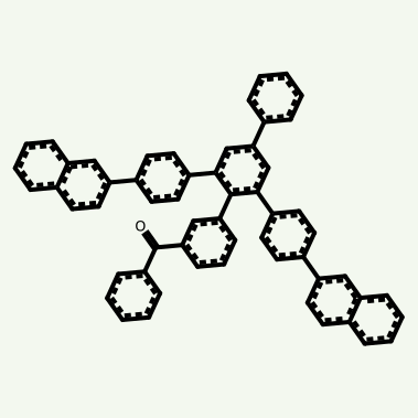 O=C(c1ccccc1)c1cccc(-c2c(-c3ccc(-c4ccc5ccccc5c4)cc3)cc(-c3ccccc3)cc2-c2ccc(-c3ccc4ccccc4c3)cc2)c1